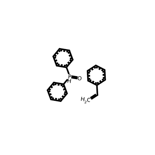 C=Cc1ccccc1.O=[PH](c1ccccc1)c1ccccc1